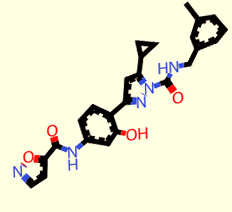 Cc1cccc(CNC(=O)n2nc(-c3ccc(NC(=O)c4ccno4)cc3O)cc2C2CC2)c1